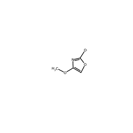 COc1coc([O])n1